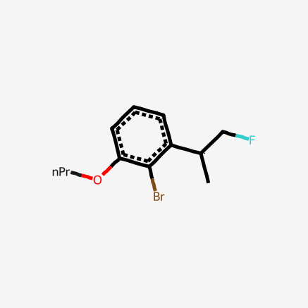 CCCOc1cccc([C](C)CF)c1Br